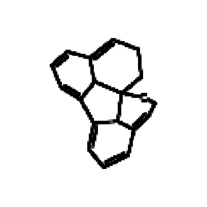 C1=CC2=CCCC34CCC=C5C=CC=C(C(=C1)C23)C54